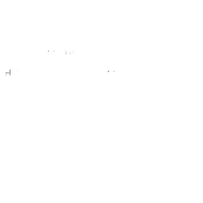 CCCC(C)/C=C(\C)CC(CC(=O)O)C(=O)O